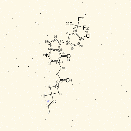 C/C=C/C1(F)CN(C(=O)CCn2cnc3scc(-c4ccc(Cl)c(C(F)(F)F)c4)c3c2=O)C1